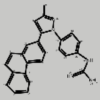 Cc1cc(-c2ccc3c(ccc4ccccc43)c2)n(-c2ccc(NC(=N)N)cc2)n1